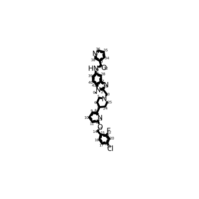 Cn1c(CN2CCC(c3cccc(OCc4ccc(Cl)cc4F)n3)CC2)nc2cc(NC(=O)c3cccnc3)ccc21